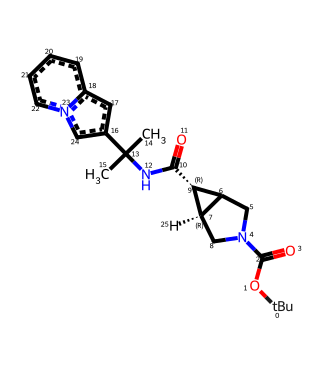 CC(C)(C)OC(=O)N1CC2[C@@H](C1)[C@@H]2C(=O)NC(C)(C)c1cc2ccccn2c1